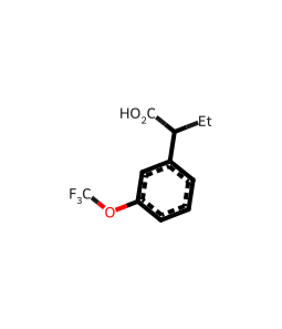 CCC(C(=O)O)c1cccc(OC(F)(F)F)c1